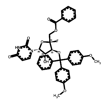 COc1ccc(C(O[C@H]2[C@H](O)[C@H](n3ccc(=O)[nH]c3=O)O[C@]2(F)COC(=O)c2ccccc2)(c2ccccc2)c2ccc(OC)cc2)cc1